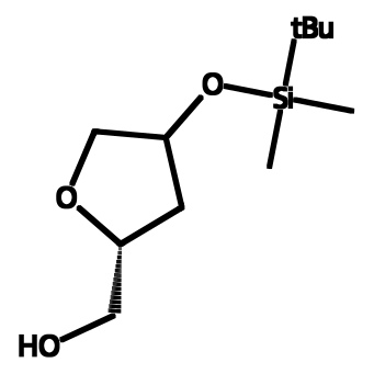 CC(C)(C)[Si](C)(C)OC1CO[C@@H](CO)C1